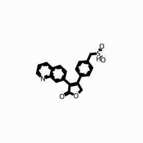 O=C1OCC(c2ccc(C[SH](=O)=O)cc2)=C1c1ccc2cccnc2c1